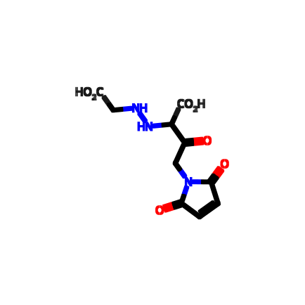 O=C(O)CNNC(C(=O)O)C(=O)CN1C(=O)C=CC1=O